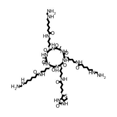 C[C@H]1NC(=O)[C@H](CCCCNC(=O)CCCCCNCN)NC(=O)[C@@H](CCCCNC(=O)CCCC[C@@H]2SCC3NC(=O)NC32)NC(=O)[C@H](CCCCNC(=O)CCCCCNCN)NC(=O)[C@@H](C)NC(=O)[C@H](CCCCNC(=O)CCCCCNCN)NC1=O